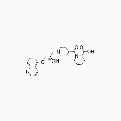 O=C(O)C1CCCCN1C(=O)C1CCN(C[C@@H](O)COc2cccc3ncccc23)CC1